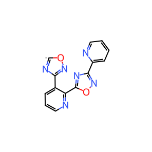 [c]1nc(-c2cccnc2-c2nc(-c3ccccn3)no2)no1